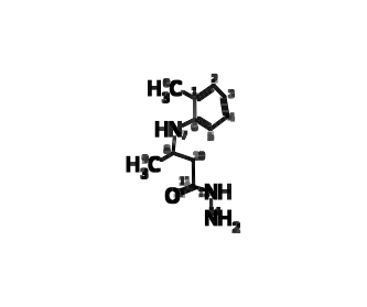 Cc1ccccc1NC(C)CC(=O)NN